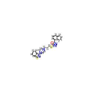 c1ccc2c(-c3nnc(SCCCN4CCN(c5nsc6ccccc56)CC4)o3)cccc2c1